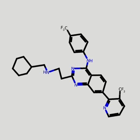 FC(F)(F)c1ccc(Nc2nc(CCNCC3CCCCC3)nc3cc(-c4ncccc4C(F)(F)F)ccc23)cc1